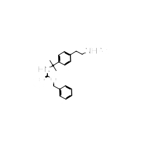 CC(=O)NCCc1ccc(C(C)(C)NC(=O)OCc2ccccc2)cc1